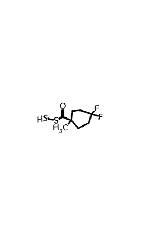 CC1(C(=O)SS)CCC(F)(F)CC1